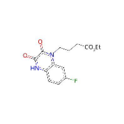 CCOC(=O)CCCn1c(=O)c(=O)[nH]c2ccc(F)cc21